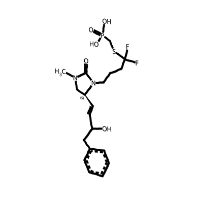 CN1C[C@H](C=CC(O)Cc2ccccc2)N(CCCC(F)(F)SCP(=O)(O)O)C1=O